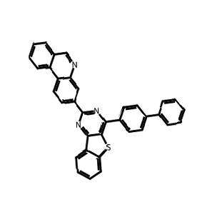 c1ccc(-c2ccc(-c3nc(-c4ccc5c(c4)ncc4ccccc45)nc4c3sc3ccccc34)cc2)cc1